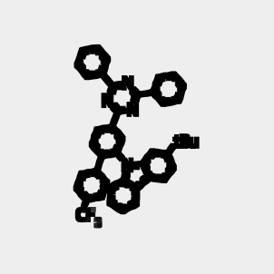 CC(C)(C)c1ccc2c3ccccc3n(-c3cc(-c4nc(-c5ccccc5)nc(-c5ccccc5)n4)ccc3-c3ccc(C(F)(F)F)cc3)c2c1